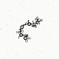 CCc1cc(N2C(=S)N(c3cnc(C#N)c(C(F)(F)F)c3)C(=O)C2(C)C)ccc1OCCN1CCN([C@@H](C)C(=O)Nc2cc(F)cc(NC3CCC(=O)NC3=O)c2)CC1